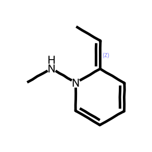 C/C=C1/C=CC=CN1NC